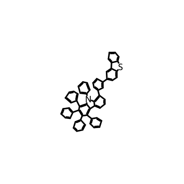 c1ccc(-c2c(-c3ccccc3)c(-c3ccccc3)c3c(c2-c2ccccc2)c2cccc(-c4cccc(-c5ccc6sc7ccccc7c6c5)c4)c2n3-c2ccccc2)cc1